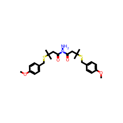 COc1ccc(CSC(C)(C)CC(=O)N(N)C(=O)CC(C)(C)SCc2ccc(OC)cc2)cc1